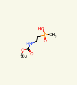 CC(C)(C)OC(=O)NCCP(C)(=O)O